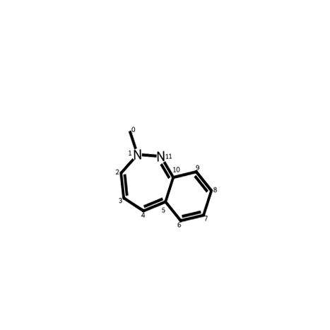 CN1C=CC=c2ccccc2=N1